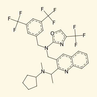 CC(c1nc2ccccc2cc1CN(Cc1cc(C(F)(F)F)cc(C(F)(F)F)c1)c1nc(C(F)(F)F)co1)N(C)C1CCCC1